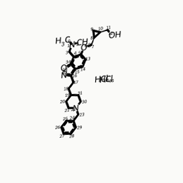 CN(C)Cc1c(OC[C@H]2C[C@H]2CO)ccc2c(CCC3CCN(Cc4ccccc4)CC3)noc12.Cl.Cl